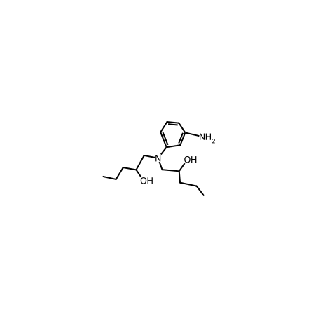 CCCC(O)CN(CC(O)CCC)c1cccc(N)c1